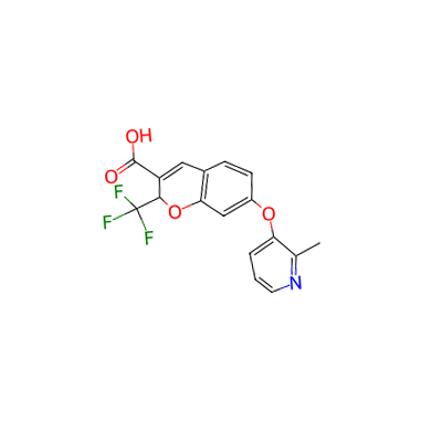 Cc1ncccc1Oc1ccc2c(c1)OC(C(F)(F)F)C(C(=O)O)=C2